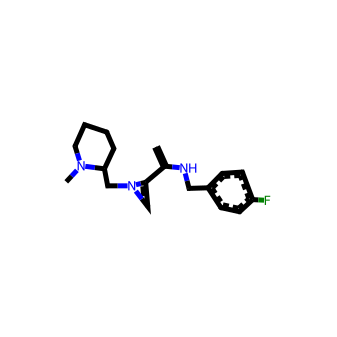 C=C(NCc1ccc(F)cc1)C1=CN1CC1CCCCN1C